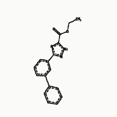 CCOC(=O)c1nc(-c2cccc(-c3ccccc3)c2)n[nH]1